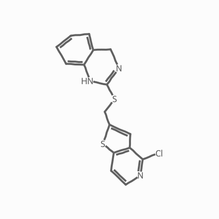 Clc1nccc2sc(CSC3=NCc4ccccc4N3)cc12